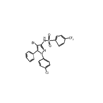 O=S(=O)(Nc1nn(-c2ccc(Cl)cc2)c(-c2ccccc2)c1Br)c1ccc(C(F)(F)F)cc1